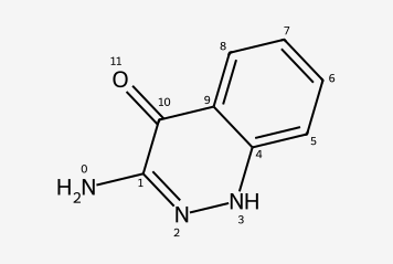 Nc1n[nH]c2ccccc2c1=O